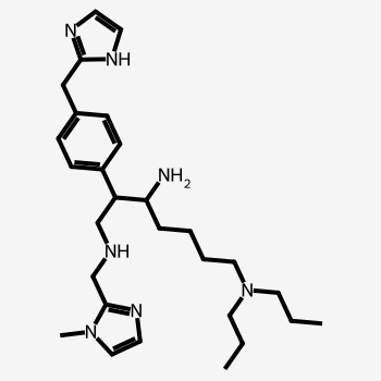 CCCN(CCC)CCCCC(N)C(CNCc1nccn1C)c1ccc(Cc2ncc[nH]2)cc1